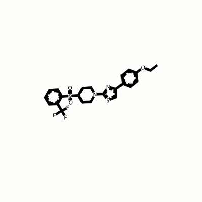 CCOc1ccc(-c2csc(N3CCC(S(=O)(=O)c4ccccc4C(F)(F)F)CC3)n2)cc1